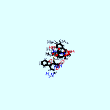 COc1c(C)cc2c(c1O)[C@H](N(C)C)[C@@H]1[C@@H]3SC[C@]4(N[C@@H](CN)Cc5c4oc4ccccc54)C(=O)OC[C@@H](c4c5c(c(C)c(OC(C)=O)c43)OCO5)N1[C@@H](O)C2